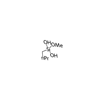 CCCC[Si](O)(O)OC